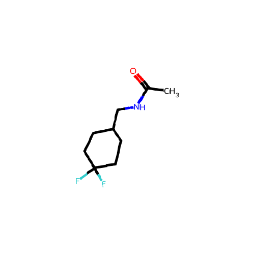 CC(=O)NCC1CCC(F)(F)CC1